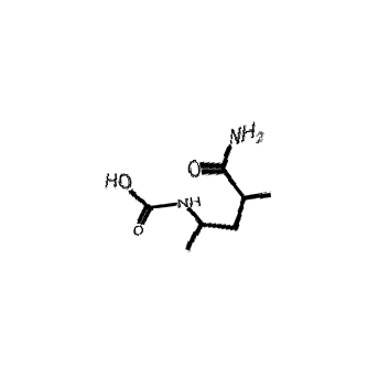 CC(CC(C)C(N)=O)NC(=O)O